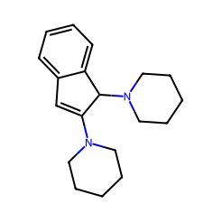 C1=C(N2CCCCC2)C(N2CCCCC2)c2ccccc21